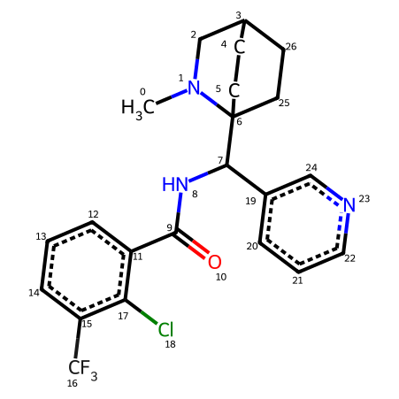 CN1CC2CCC1(C(NC(=O)c1cccc(C(F)(F)F)c1Cl)c1cccnc1)CC2